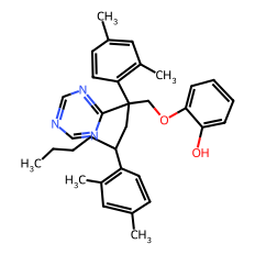 CCCCC(CC(COc1ccccc1O)(c1ncncn1)c1ccc(C)cc1C)c1ccc(C)cc1C